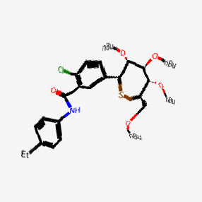 CCCCOC[C@H]1S[C@@H](c2ccc(Cl)c(C(=O)Nc3ccc(CC)cc3)c2)[C@H](OCCCC)[C@@H](OCCCC)[C@@H]1OCCCC